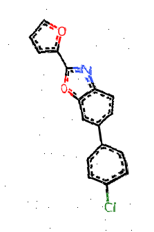 Clc1ccc(-c2ccc3nc(-c4ccco4)oc3c2)cc1